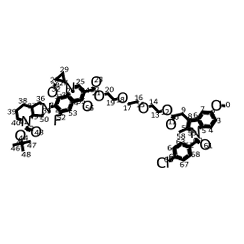 COc1ccc2c(c1)c(CC(=O)OCCOCCOCCOC(=O)c1cn(C3CC3)c3c(OC)c(N4CC5CCCN(C(=O)OC(C)(C)C)C5C4)c(F)cc3c1=O)c(C)n2C(=O)c1ccc(Cl)cc1